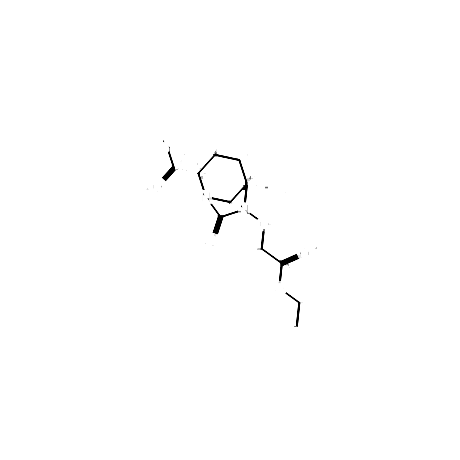 CCOC(=O)CON1C(=O)N2C[C@H]1CC[C@H]2C(N)=O